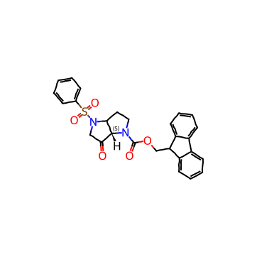 O=C1CN(S(=O)(=O)c2ccccc2)C2CCN(C(=O)OCC3c4ccccc4-c4ccccc43)[C@H]12